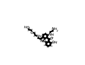 NCCNc1ccc2c(CNCCOCCO)nn3c4cccc(O)c4c(=O)c1c23